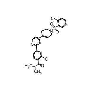 CN(C)C(=O)c1ccc(-c2cc(C3=CCN(S(=O)(=O)c4ccccc4Cl)CC3)ccn2)cc1Cl